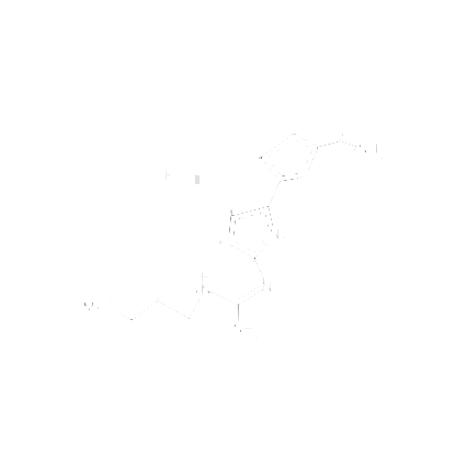 COCCCNC(N)=Nc1nc(-c2ccc(CN)o2)cs1.Cl.Cl